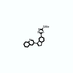 CSc1nnc(-c2ccc3c(c2)C(c2cnc4ccccc4c2)=CC3)s1